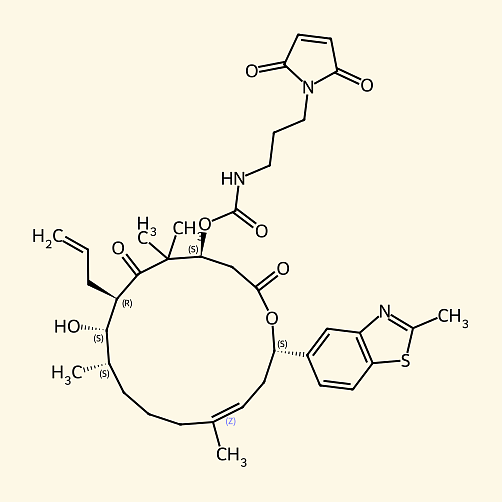 C=CC[C@H]1C(=O)C(C)(C)[C@@H](OC(=O)NCCCN2C(=O)C=CC2=O)CC(=O)O[C@H](c2ccc3sc(C)nc3c2)C/C=C(/C)CCC[C@H](C)[C@@H]1O